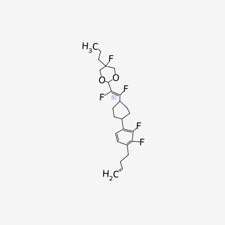 C=CCCc1ccc(C2CCC(/C(F)=C(\F)C3OCC(F)(CCC)CO3)CC2)c(F)c1F